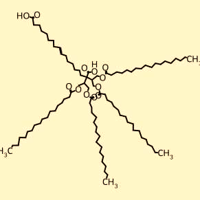 CCCCCCCCCCCCCCCCCC(=O)OCC(COC(=O)CCCCCCCCCCCCCCCCC)C(CCCCCC/C=C/CCCCCCCC(=O)O)(C(=O)O)C(COC(=O)CCCCCCCCCCCCCCCCC)COC(=O)CCCCCCCCCCCCCCCCC